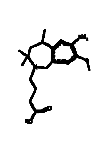 COc1cc2c(cc1N)C(C)CC(C)(C)N(CCCC(=O)O)C2